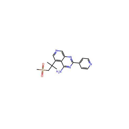 CC(C)(CS(C)(=O)=O)c1cncc2nc(-c3ccncc3)nc(N)c12